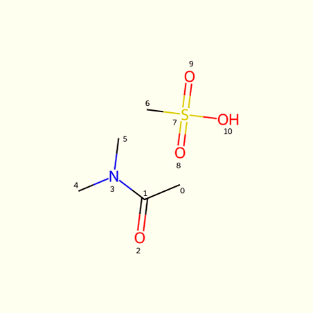 CC(=O)N(C)C.CS(=O)(=O)O